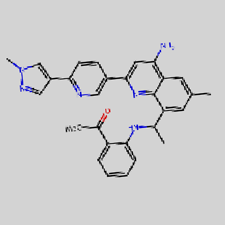 COC(=O)c1ccccc1NC(C)c1cc(C)cc2c(N)cc(-c3ccc(-c4cnn(C)c4)nc3)nc12